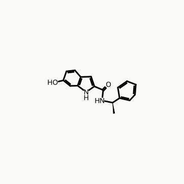 C[C@@H](NC(=O)c1cc2ccc(O)cc2[nH]1)c1ccccc1